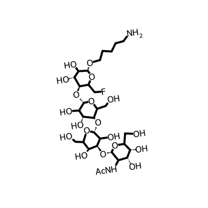 CC(=O)NC1[C@H](O[C@@H]2C(O)[C@@H](O[C@H]3C(CO)O[C@@H](O[C@@H]4C(CF)O[C@@H](OCCCCCN)C(O)[C@H]4O)C(O)[C@H]3O)OC(CO)[C@@H]2O)OC(CO)[C@H](O)[C@@H]1O